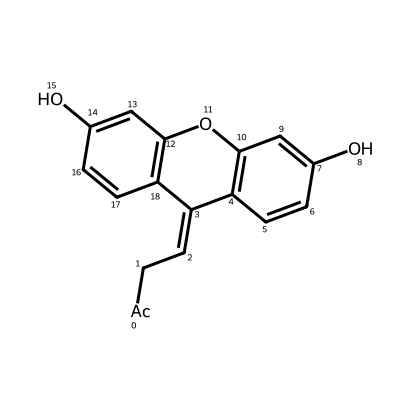 CC(=O)CC=C1c2ccc(O)cc2Oc2cc(O)ccc21